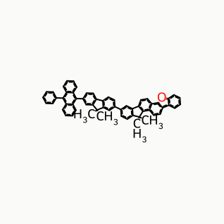 CC1(C)c2cc(-c3ccc4c(c3)-c3ccc5c(ccc6c7ccccc7oc56)c3C4(C)C)ccc2-c2ccc(-c3c4ccccc4c(-c4ccccc4)c4ccccc34)cc21